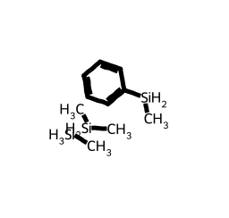 C[SiH2]C.C[SiH2]c1ccccc1.C[SiH3]